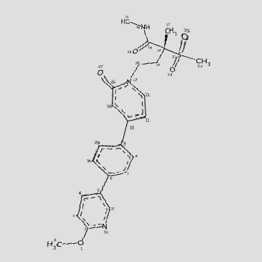 COc1ccc(-c2ccc(-c3ccn(CC[C@](C)(C(=O)NO)S(C)(=O)=O)c(=O)c3)cc2)cn1